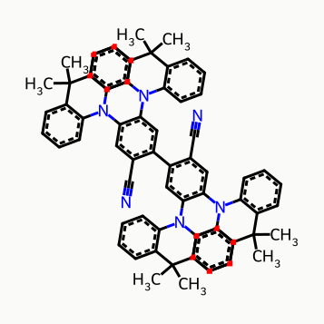 CC1(C)c2ccccc2N(c2cc(C#N)c(-c3cc(N4c5ccccc5C(C)(C)c5ccccc54)c(N4c5ccccc5C(C)(C)c5ccccc54)cc3C#N)cc2N2c3ccccc3C(C)(C)c3ccccc32)c2ccccc21